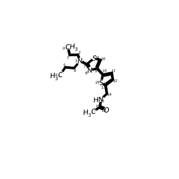 CCCN(CCC)c1nc(-c2ccc(CNC(C)=O)s2)cs1